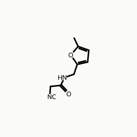 [C-]#[N+]CC(=O)NCc1ccc(C)o1